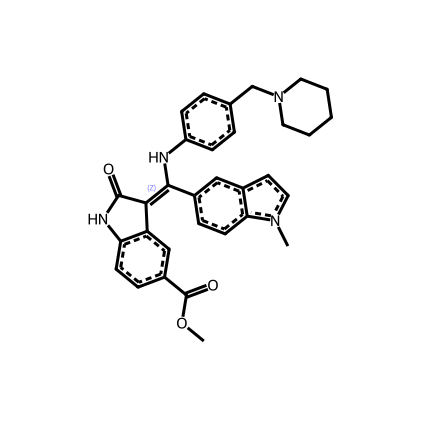 COC(=O)c1ccc2c(c1)/C(=C(/Nc1ccc(CN3CCCCC3)cc1)c1ccc3c(ccn3C)c1)C(=O)N2